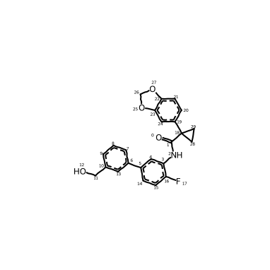 O=C(Nc1cc(-c2cccc(CO)c2)ccc1F)C1(c2ccc3c(c2)OCO3)CC1